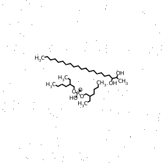 CCCCC(CC)COP(=O)(O)OCC(CC)CCCC.CCCCCCCCCCCCCCCCCCC(O)C(C)O